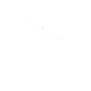 CC(C)(C)OC(=O)N1CCC(Cc2cccc(F)c2)(C(=O)O)CC1